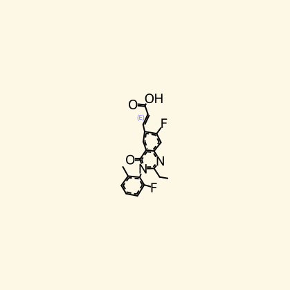 CCc1nc2cc(F)c(/C=C/C(=O)O)cc2c(=O)n1-c1c(C)cccc1F